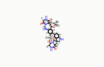 CC[Si](CC)(CC)OC1N2C(=O)[C@H](C)NC(=O)[C@@H]2C[C@@]12CNc1ccc(-c3ccc4c(c3)[C@H](O[Si](CC)(CC)CC)C[C@H]3C(=O)N[C@@H](C)C(=O)N3CN4)cc12